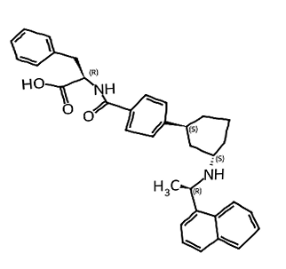 C[C@@H](N[C@H]1CCC[C@H](c2ccc(C(=O)N[C@H](Cc3ccccc3)C(=O)O)cc2)C1)c1cccc2ccccc12